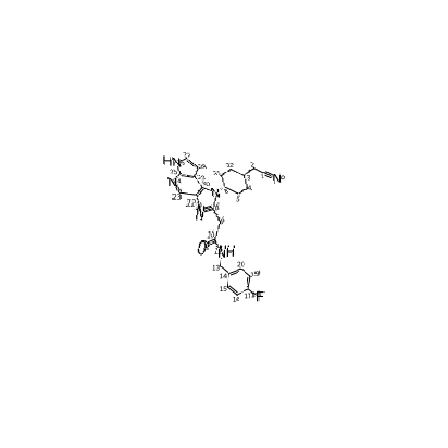 N#CC[C@H]1CC[C@H](n2c(CC(=O)NCc3ccc(F)cc3)nc3cnc4[nH]ccc4c32)CC1